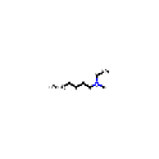 CCCCCCCCCN(C)CC(C)C